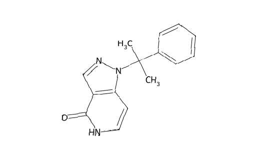 CC(C)(c1ccccc1)n1ncc2c(=O)[nH]ccc21